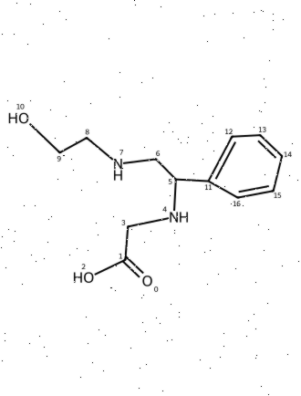 O=C(O)CNC(CNCCO)c1ccccc1